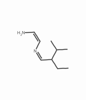 CCC(/C=N\C=C/N)C(C)C